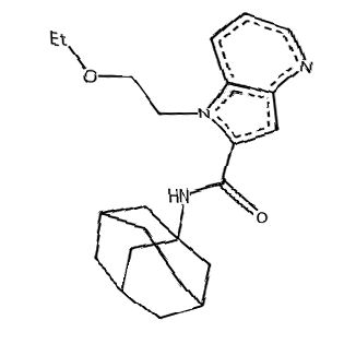 CCOCCn1c(C(=O)NC23CC4CC(CC(C4)C2)C3)cc2ncccc21